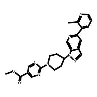 COC(=O)c1cnc(N2CCC(n3ncc4cc(-c5cccnc5C)ncc43)CC2)nc1